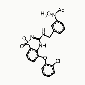 CC(=O)N(C)c1cccc(CNC2=NS(=O)(=O)c3cccc(Oc4ccccc4Cl)c3N2)c1